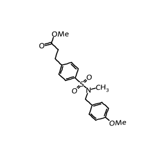 COC(=O)CCc1ccc(S(=O)(=O)N(C)Cc2ccc(OC)cc2)cc1